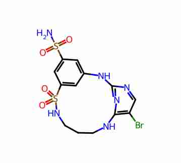 NS(=O)(=O)c1cc2cc(c1)S(=O)(=O)NCCCNc1nc(ncc1Br)N2